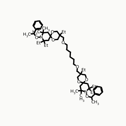 CCC1(COCCCCCCOCC2(CC)COC3(CC(C)(C)N(OC(C)c4ccccc4)C(CC)(CC)C3)OC2)COC2(CC(C)(C)N(OC(C)c3ccccc3)C(CC)(CC)C2)OC1